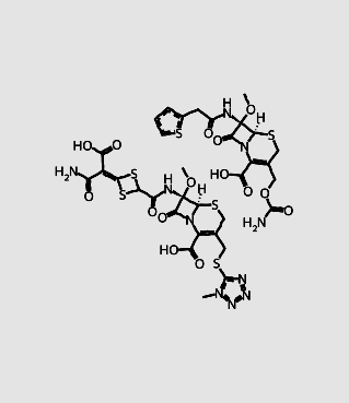 CO[C@@]1(NC(=O)C2SC(=C(C(N)=O)C(=O)O)S2)C(=O)N2C(C(=O)O)=C(CSc3nnnn3C)CS[C@@H]21.CO[C@@]1(NC(=O)Cc2cccs2)C(=O)N2C(C(=O)O)=C(COC(N)=O)CS[C@@H]21